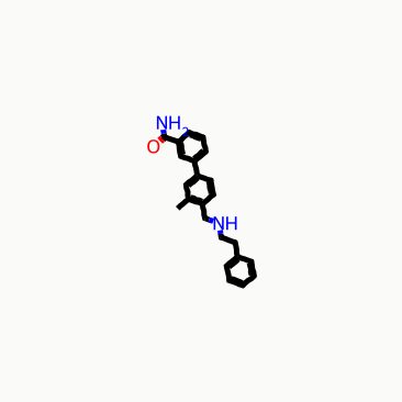 Cc1cc(-c2cccc(C(N)=O)c2)ccc1CNCCc1ccccc1